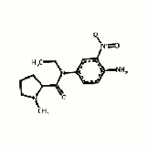 CCN(C(=O)[C@@H]1CCCN1C)c1ccc(N)c([N+](=O)[O-])c1